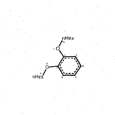 CCCCCCOc1c[c]ccc1OCCCCCC